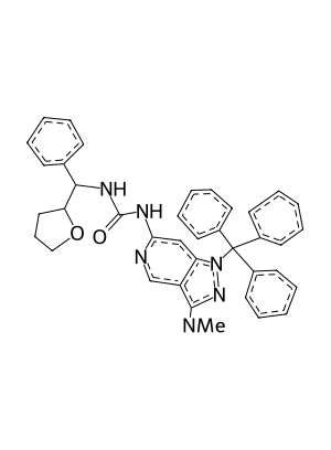 CNc1nn(C(c2ccccc2)(c2ccccc2)c2ccccc2)c2cc(NC(=O)NC(c3ccccc3)C3CCCO3)ncc12